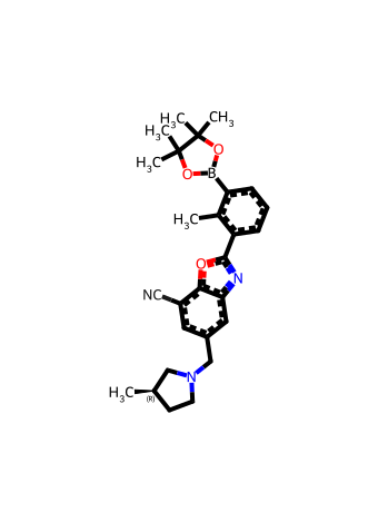 Cc1c(B2OC(C)(C)C(C)(C)O2)cccc1-c1nc2cc(CN3CC[C@@H](C)C3)cc(C#N)c2o1